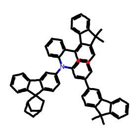 CC1(C)c2ccccc2-c2cc(-c3cccc(N(c4ccc5c(c4)-c4ccccc4C54CC5CCC4C5)c4ccccc4-c4cccc5c4-c4ccccc4C5(C)C)c3)ccc21